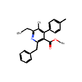 Cc1ccc(-c2c(C#N)c(CC(C)(C)C)nc(Cc3ccccc3)c2C(=O)OC(C)(C)C)cc1